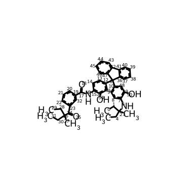 CCC(C)(CC)Nc1ccc(C2(c3ccc(NC(=O)c4cccc(C(=O)C(C)(CC)CC)c4)c(O)c3)c3ccccc3-c3ccccc32)cc1O